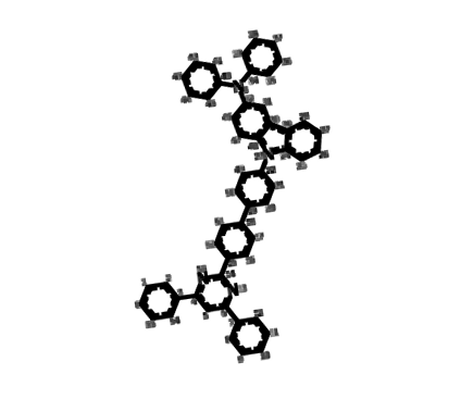 c1ccc(-c2cc(-c3ccccc3)nc(-c3ccc(-c4ccc(-n5c6ccccc6c6cc(N(c7ccccc7)c7ccccc7)ccc65)cc4)cc3)n2)cc1